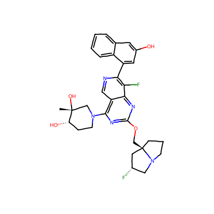 C[C@@]1(O)CN(c2nc(OC[C@@]34CCCN3C[C@H](F)C4)nc3c(F)c(-c4cc(O)cc5ccccc45)ncc23)CC[C@@H]1O